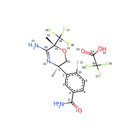 C[C@@]1(c2cc(C(N)=O)ccc2F)CO[C@@](C)(C(F)(F)F)C(N)=N1.O=C(O)C(F)(F)F